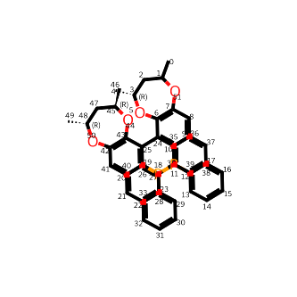 CC1C[C@@H](C)Oc2c(ccc(P(c3ccccc3)c3ccccc3)c2-c2c(P(c3ccccc3)c3ccccc3)ccc3c2O[C@H](C)C[C@@H](C)O3)O1